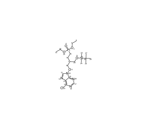 CCOP(=O)(CCC(COn1cnc2c(Cl)ncnc21)CO[Si](C)(C)C(C)(C)C)OCC